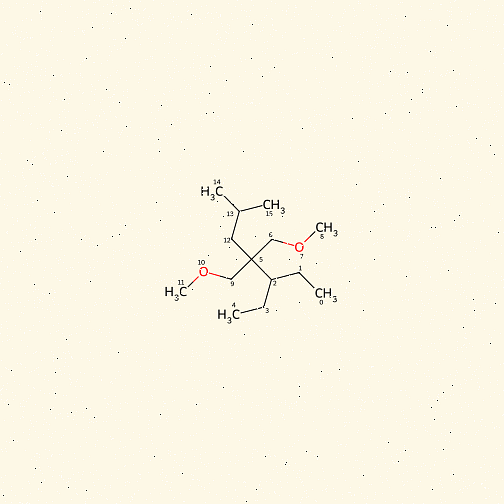 CCC(CC)C(COC)(COC)CC(C)C